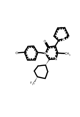 Cc1nc([C@H]2CC[C@@H](C(F)(F)F)CC2)n(-c2ccc(Cl)cc2)c(=O)c1-c1ccccc1